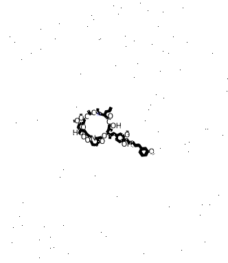 C=CCC1/C=C(\C)CC(C)CC(OC)C2OC(O)(C(=O)C(=O)N3CCCCC3C(=O)OC(C(C)=CC3CCC(O)(CC=CC=Cc4cccc(OC)c4)C(OC)C3)C(C)C(O)CC1=O)C(C)CC2OC